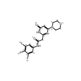 O=C(Cc1nc(N2CCOCC2)cc(=O)[nH]1)Nc1cc(F)c(F)c(F)c1